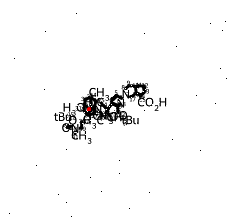 CC1=C(c2ccc(N3CCc4cccc(C(=O)O)c4C3)nc2C(=O)OC(C)(C)C)C(C)[N+](C)(C23CC4(C)CC(C)(CC(OCCN(C)C(=O)OC(C)(C)C)(C4)C2)C3)N1C